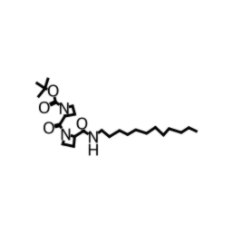 CCCCCCCCCCCCNC(=O)C1CCN1C(=O)C1CCN1C(=O)OC(C)(C)C